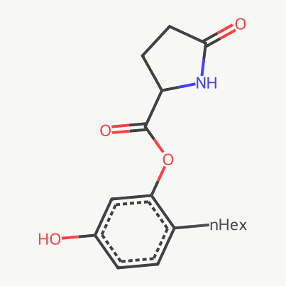 CCCCCCc1ccc(O)cc1OC(=O)C1CCC(=O)N1